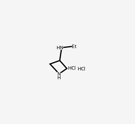 CCNC1CNC1.Cl.Cl